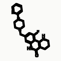 O=c1[nH]c2cc(CN3CCN(c4ccccn4)CC3)cc(F)c2c2c1CCCN2